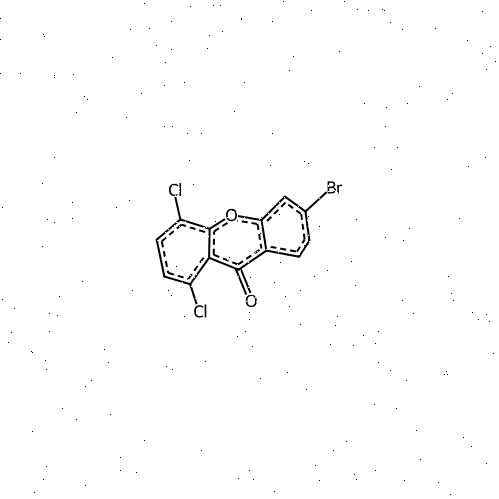 O=c1c2ccc(Br)cc2oc2c(Cl)ccc(Cl)c12